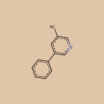 N#Cc1cncc(-c2cc[c]cc2)c1